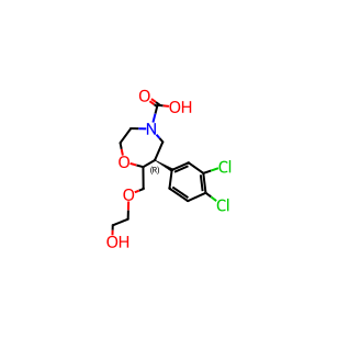 O=C(O)N1CCOC(COCCO)[C@H](c2ccc(Cl)c(Cl)c2)C1